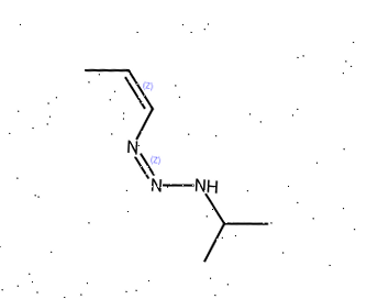 C/C=C\N=N/NC(C)C